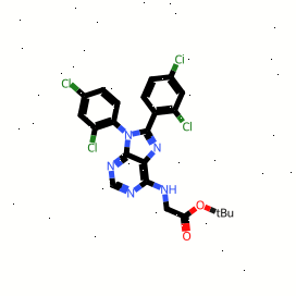 CC(C)(C)OC(=O)CNc1ncnc2c1nc(-c1ccc(Cl)cc1Cl)n2-c1ccc(Cl)cc1Cl